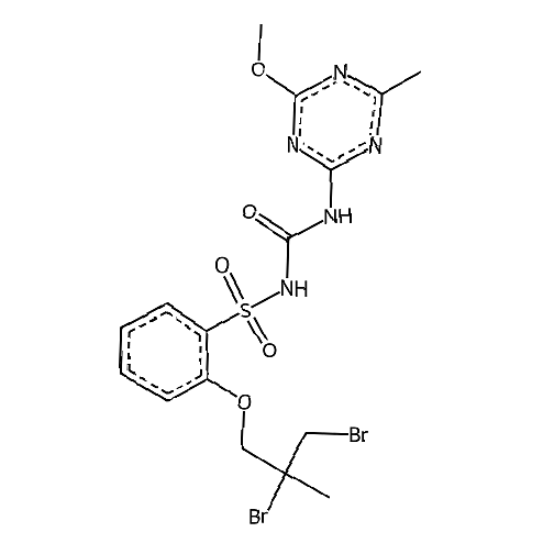 COc1nc(C)nc(NC(=O)NS(=O)(=O)c2ccccc2OCC(C)(Br)CBr)n1